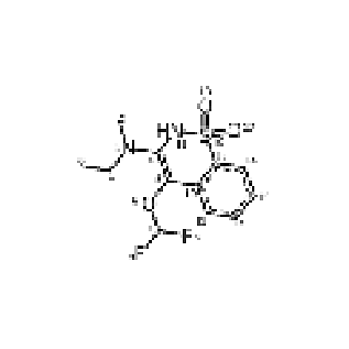 CCN(C)C1=C(OC(F)F)c2ccccc2S(=O)(=O)N1